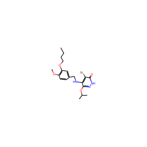 CCCCOc1cc(CNc2c(OC(C)C)n[nH]c(=O)c2Br)ccc1OC